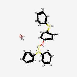 Cc1cc(OS[S+](c2ccccc2)c2ccccc2)ccc1Sc1ccccc1.[Br-]